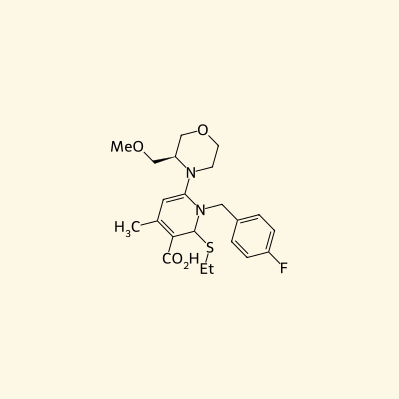 CCSC1C(C(=O)O)=C(C)C=C(N2CCOC[C@@H]2COC)N1Cc1ccc(F)cc1